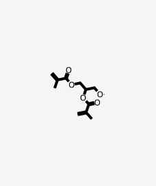 C=C(C)C(=O)OCC(C[O])OC(=O)C(=C)C